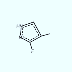 Cc1[c][nH]nc1F